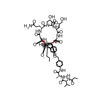 CCC(=O)N[C@H](C(=O)N[C@@H](C)C(=O)Nc1ccc(COc2ccc3c4c([nH]c3c2)[S+]([O-])CC2NC(=O)CNC(=O)[C@H]([C@@H](C)CC)NC(=O)CNC(=O)C(C4)NC(=O)[C@H]([C@@H](C)[C@@H](O)CO)N[C@@]3(C=O)C[C@@H](O)CN3C(=O)[C@H](CCC(N)=O)NC2=O)cc1)C(C)C